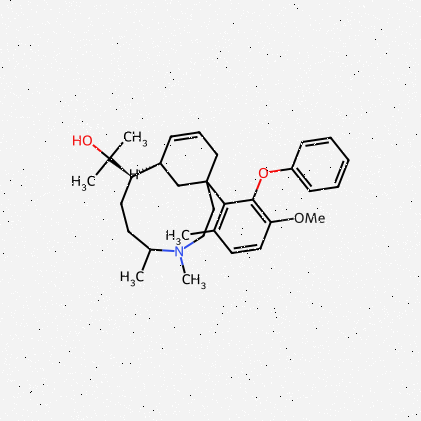 COc1ccc(C)c(C23CC=C[C@@H](C2)[C@H](C(C)(C)O)CCC(C)N(C)CC3)c1Oc1ccccc1